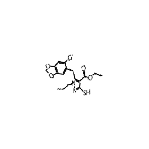 CCCn1nc(S)c(C(=O)OCC)c1Cc1cc2c(cc1Cl)OCO2